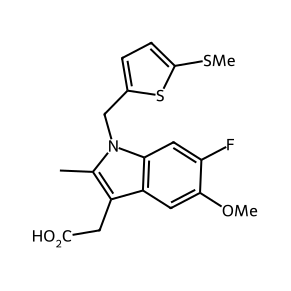 COc1cc2c(CC(=O)O)c(C)n(Cc3ccc(SC)s3)c2cc1F